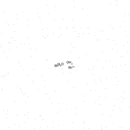 O.O.[Rh+2].[Rh+2]